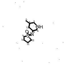 CC1CNCC(N=S2(=O)CCCC2)C1